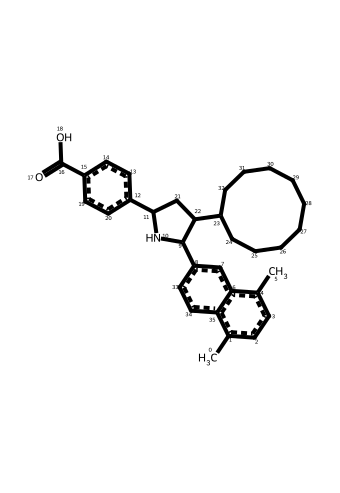 Cc1ccc(C)c2cc(C3NC(c4ccc(C(=O)O)cc4)CC3C3CCCCCCCCC3)ccc12